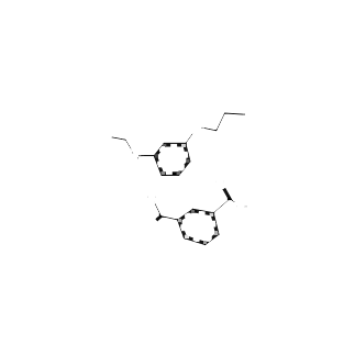 CCCOc1cccc(NCC)c1.O=C(O)c1cccc(C(=O)O)c1